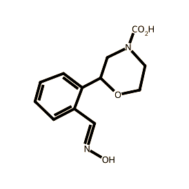 O=C(O)N1CCOC(c2ccccc2C=NO)C1